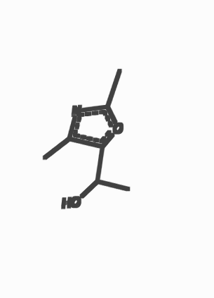 Cc1nc(C)c(C(C)O)o1